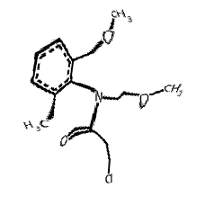 COCN(C(=O)CCl)c1c(C)cccc1OC